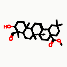 COC(=O)[C@]12CCC(C)(C)CC1C1=CCC3C4(C)CC[C@H](O)C(C)(C=O)C4CCC3(C)C1(C)CC2